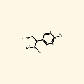 CC(=O)C(C(C)=O)C(C[N+](=O)[O-])c1ccc(Cl)cc1